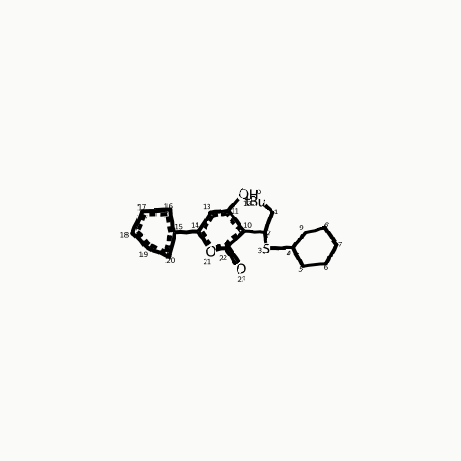 CC(C)(C)CC(SC1CCCCC1)c1c(O)cc(-c2ccccc2)oc1=O